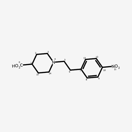 O=C(O)C1CCN(CCc2ccc([N+](=O)[O-])cc2)CC1